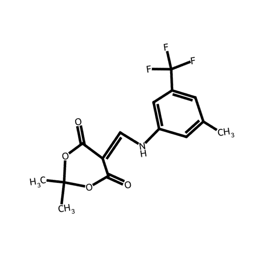 Cc1cc(NC=C2C(=O)OC(C)(C)OC2=O)cc(C(F)(F)F)c1